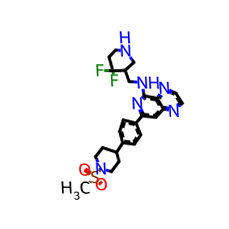 CS(=O)(=O)N1CCC(c2ccc(-c3cc4nccnc4c(NCC4CNCCC4(F)F)n3)cc2)CC1